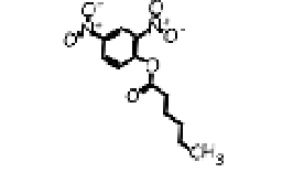 CCCCCC(=O)Oc1ccc([N+](=O)[O-])cc1[N+](=O)[O-]